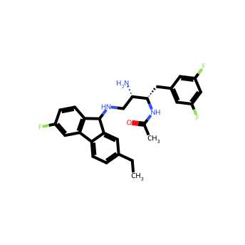 CCc1ccc2c(c1)C(NC[C@H](N)[C@H](Cc1cc(F)cc(F)c1)NC(C)=O)c1ccc(F)cc1-2